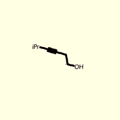 CC(C)C#CC[CH]O